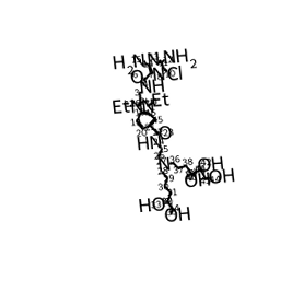 CCn1c(CNC(=O)c2nc(Cl)c(N)nc2N)[n+](CC)c2ccc(C(=O)NCCN(CCCC[C@H](O)CO)CCC[C@H](O)[C@H](O)CO)cc21